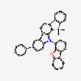 CC1(C)c2ccccc2-c2ccc3c4cc(-c5ccccc5)ccc4n(-c4cccc5c4oc4ccccc45)c3c21